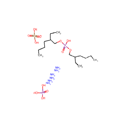 CCCCC(CC)COP(=O)(O)OCC(CC)CCCC.N.N.N.N.N.N.O=P(O)(O)O.O=S(=O)(O)O